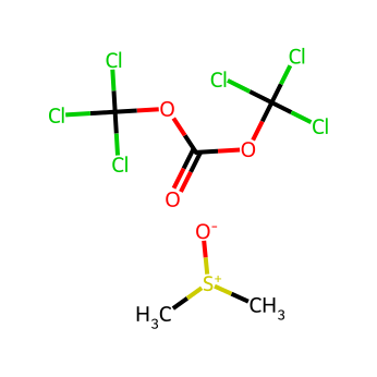 C[S+](C)[O-].O=C(OC(Cl)(Cl)Cl)OC(Cl)(Cl)Cl